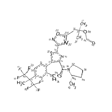 Cc1cc(C(C)(C(F)(F)F)C(F)(F)F)ccc1-c1sc(-c2noc(CC(C)(C)OC=O)n2)nc1C(=O)N1CCC[C@@H]1C